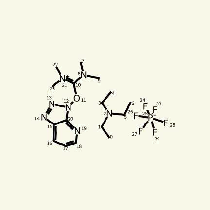 CCN(CC)CC.CN(C)C(On1nnc2cccnc21)=[N+](C)C.F[P-](F)(F)(F)(F)F